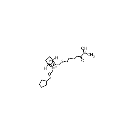 CN(O)C(=O)CCCCSC[C@@H]1[C@H](COCC2CCCC2)[C@@H]2CC[C@H]1O2